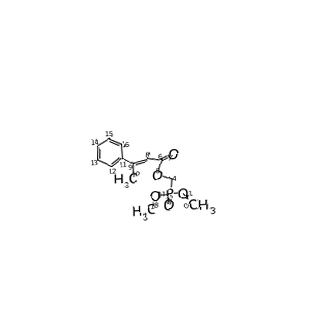 COP(=O)(COC(=O)C=C(C)c1ccccc1)OC